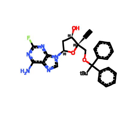 C#C[C@]1(COC(c2ccccc2)(c2ccccc2)C(C)(C)C)O[C@@H](n2cnc3c(N)nc(F)nc32)C[C@@H]1O